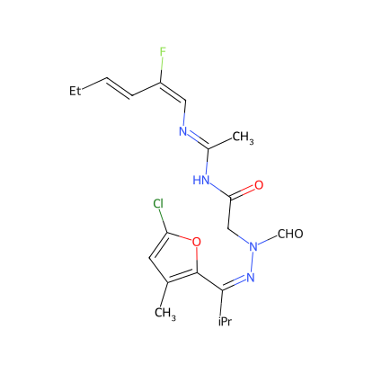 CC/C=C/C(F)=C\N=C(/C)NC(=O)CN(C=O)/N=C(\c1oc(Cl)cc1C)C(C)C